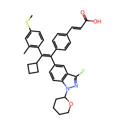 CSc1ccc(/C(=C(\c2ccc(C=CC(=O)O)cc2)c2ccc3c(c2)c(F)nn3C2CCCCO2)C2CCC2)c(C)c1